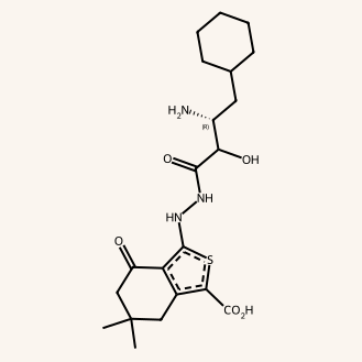 CC1(C)CC(=O)c2c(NNC(=O)C(O)[C@H](N)CC3CCCCC3)sc(C(=O)O)c2C1